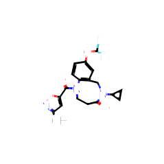 Cc1cc(C(=O)N2CCC(=O)N(C3CC3)Cc3cc(OC(F)F)ccc32)on1